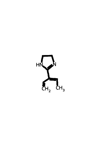 C=CC(=CC)C1=NCCN1